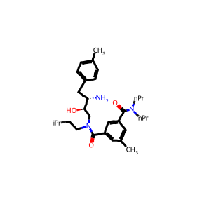 CCCN(CCC)C(=O)c1cc(C)cc(C(=O)N(CCC(C)C)C[C@@H](O)[C@@H](N)Cc2ccc(C)cc2)c1